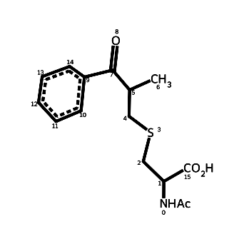 CC(=O)NC(CSCC(C)C(=O)c1ccccc1)C(=O)O